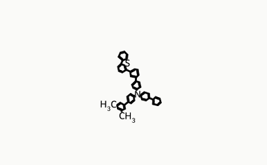 Cc1cc(C)cc(-c2ccc(N(c3ccc(-c4ccccc4)cc3)c3ccc(-c4cccc(-c5cccc6c5sc5ccccc56)c4)cc3)cc2)c1